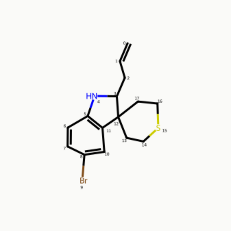 C=CCC1Nc2ccc(Br)cc2C12CCSCC2